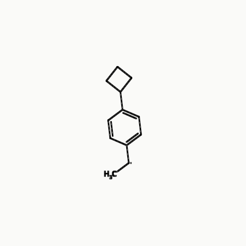 C[CH]c1ccc(C2CCC2)cc1